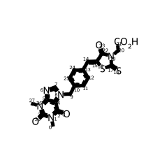 Cn1c(=O)c2c(ncn2Cc2ccc(/C=C3\SC(=S)N(CC(=O)O)C3=O)cc2)n(C)c1=O